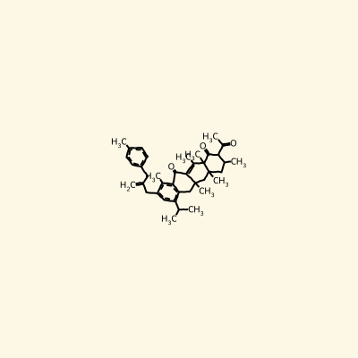 C=C(Cc1ccc(C)cc1)Cc1cc(C(C)C)c2c(c1C)C(=O)C1=C(C)C3(C)C(=O)C(C(C)=O)C(C)CC3(C)CC1(C)C2